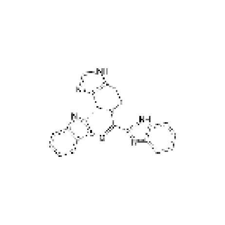 O=C(c1nc2ccccc2[nH]1)N1CCc2[nH]cnc2[C@H]1c1nc2ccccc2s1